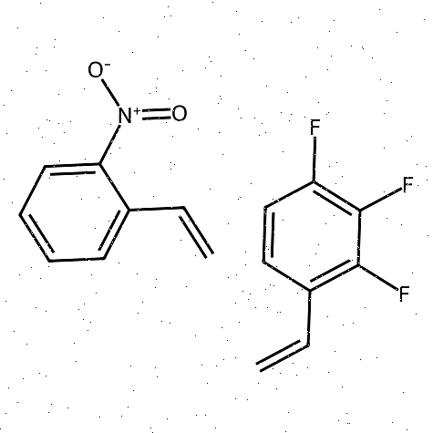 C=Cc1ccc(F)c(F)c1F.C=Cc1ccccc1[N+](=O)[O-]